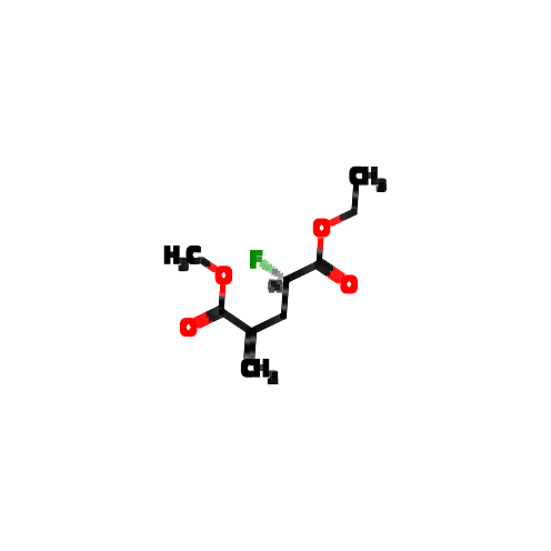 C=C(C[C@H](F)C(=O)OCC)C(=O)OC